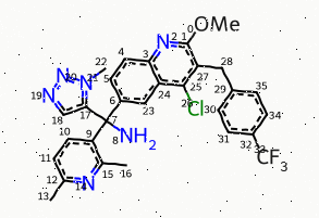 COc1nc2ccc(C(N)(c3ccc(C)nc3C)c3cnnn3C)cc2c(Cl)c1Cc1ccc(C(F)(F)F)cc1